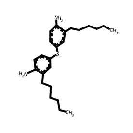 CCCCCCc1cc(Sc2ccc(N)c(CCCCCC)c2)ccc1N